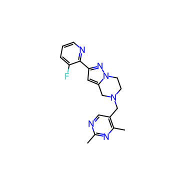 Cc1ncc(CN2CCn3nc(-c4ncccc4F)cc3C2)c(C)n1